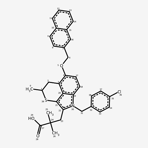 CC1Cc2c(OCc3ccc4ccccc4c3)ccc3c2c(c(CC(C)(C)C(=O)O)n3Cc2ccc(Cl)cc2)S1